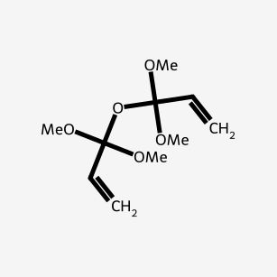 C=CC(OC)(OC)OC(C=C)(OC)OC